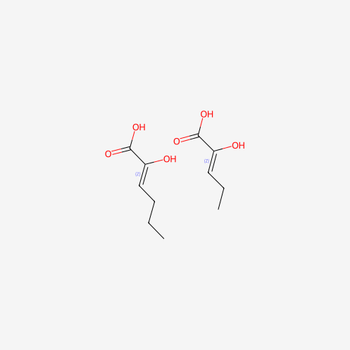 CC/C=C(\O)C(=O)O.CCC/C=C(\O)C(=O)O